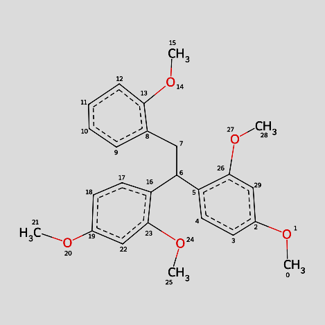 COc1ccc(C(Cc2ccccc2OC)c2ccc(OC)cc2OC)c(OC)c1